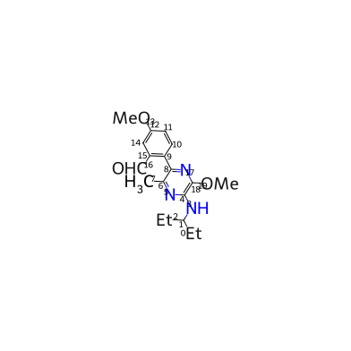 CCC(CC)Nc1nc(C)c(-c2ccc(OC)cc2C=O)nc1OC